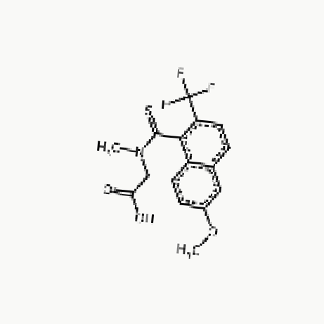 COc1ccc2c(C(=S)N(C)CC(=O)O)c(C(F)(F)F)ccc2c1